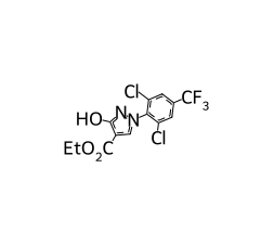 CCOC(=O)c1cn(-c2c(Cl)cc(C(F)(F)F)cc2Cl)nc1O